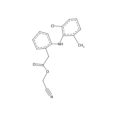 Cc1cccc(Cl)c1Nc1ccccc1CC(=O)OCC#N